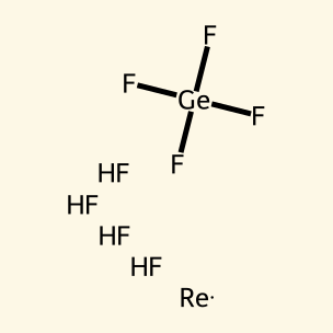 F.F.F.F.[F][Ge]([F])([F])[F].[Re]